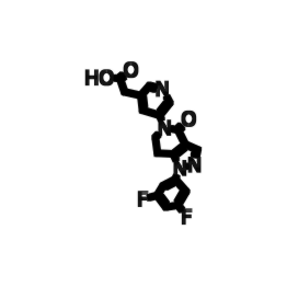 O=C(O)Cc1cncc(N2CCc3c(cnn3-c3cc(F)cc(F)c3)C2=O)c1